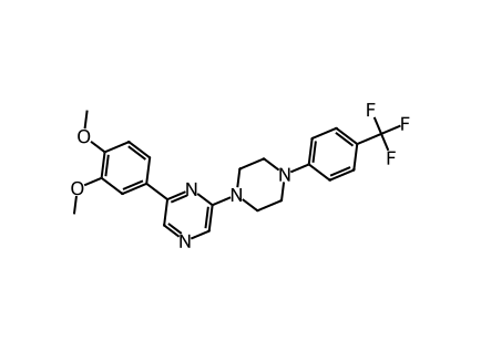 COc1ccc(-c2cncc(N3CCN(c4ccc(C(F)(F)F)cc4)CC3)n2)cc1OC